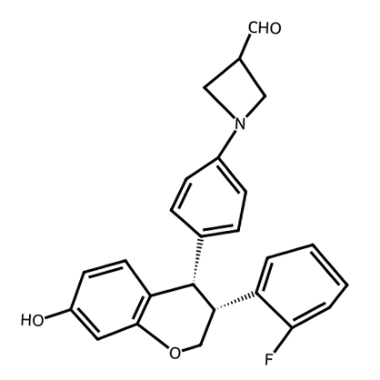 O=CC1CN(c2ccc([C@H]3c4ccc(O)cc4OC[C@H]3c3ccccc3F)cc2)C1